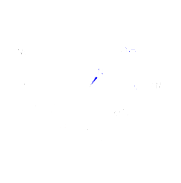 CC(=O)O[C@H]1[C@H](N2CCNC2=NC#N)c2cc(C#N)ccc2OC1(C)C